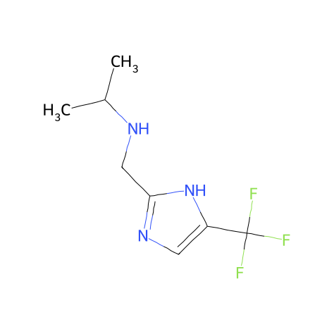 CC(C)NCc1ncc(C(F)(F)F)[nH]1